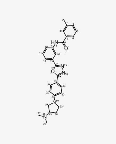 Cc1cccc(C(=O)Nc2cccc(-c3nnc(-c4ccc(N5CCC(N(C)C)C5)cc4)o3)c2)c1